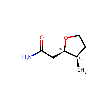 C[C@@H]1CCO[C@@H]1CC(N)=O